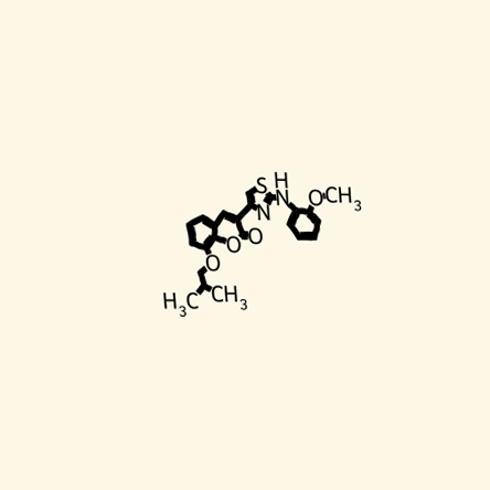 COc1ccccc1Nc1nc(-c2cc3cccc(OCC(C)C)c3oc2=O)cs1